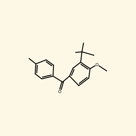 COc1ccc(C(=O)c2ccc(C)cc2)cc1C(C)(C)C